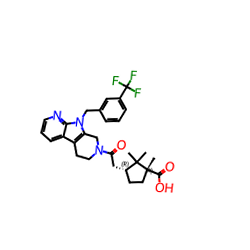 CC1(C)[C@@H](CC(=O)N2CCc3c(n(Cc4cccc(C(F)(F)F)c4)c4ncccc34)C2)CC[C@@]1(C)C(=O)O